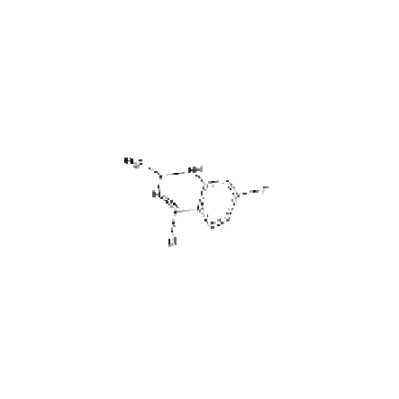 CC1N=C(Cl)c2ccc(F)cc2N1